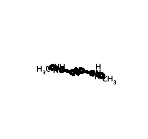 Cc1ccc2[nH]c(-c3ccc(C#Cc4ccc5c(c4)CN4CN5Cc5cc(C#Cc6ccc(-c7nc8cc(C)ccc8[nH]7)cc6)ccc54)cc3)nc2c1